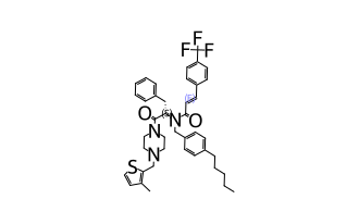 CCCCCc1ccc(CN(C(=O)/C=C/c2ccc(C(F)(F)F)cc2)[C@@H](Cc2ccccc2)C(=O)N2CCN(Cc3sccc3C)CC2)cc1